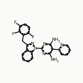 Nc1nc(-n2nc(Cc3c(F)ccc(F)c3F)c3ccccc32)nc(N)c1-c1ccccn1